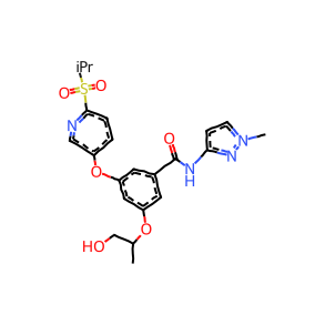 CC(CO)Oc1cc(Oc2ccc(S(=O)(=O)C(C)C)nc2)cc(C(=O)Nc2ccn(C)n2)c1